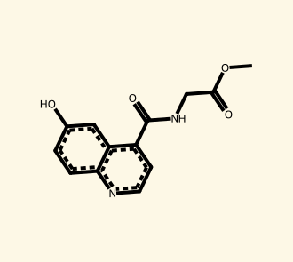 COC(=O)CNC(=O)c1ccnc2ccc(O)cc12